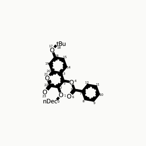 CCCCCCCCCCOc1c(OC(=O)c2ccccc2)c2ccc(OC(C)(C)C)cc2oc1=O